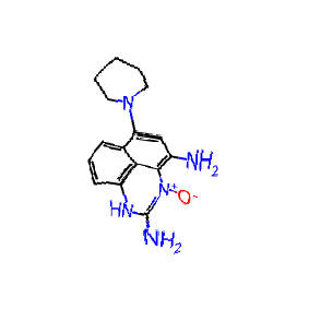 NC1=[N+]([O-])c2c(N)cc(N3CCCCC3)c3cccc(c23)N1